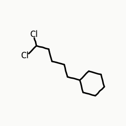 ClC(Cl)CCCCC1CCCCC1